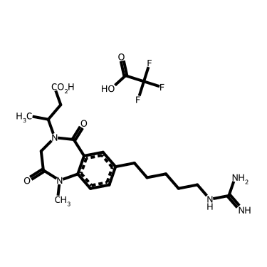 CC(CC(=O)O)N1CC(=O)N(C)c2ccc(CCCCCNC(=N)N)cc2C1=O.O=C(O)C(F)(F)F